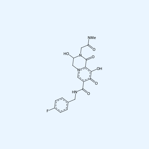 CNC(=O)CN1C(=O)c2c(O)c(=O)c(C(=O)NCc3ccc(F)cc3)cn2CC1O